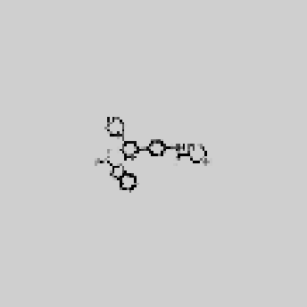 O=C(Nc1ccc(-c2cc(N3CCOCC3)nc(-n3c(C(F)F)nc4ccccc43)n2)cc1)C1CNCCN1